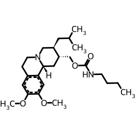 CCCCNC(=O)OC[C@@H]1C[C@@H]2c3cc(OC)c(OC)cc3CCN2C[C@H]1CC(C)C